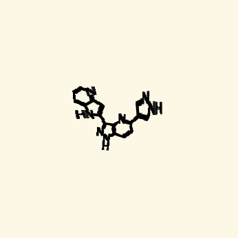 c1cnc2cc(-c3n[nH]c4ccc(-c5cn[nH]c5)nc34)[nH]c2c1